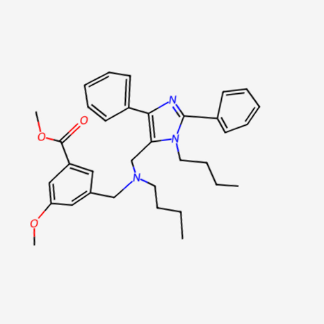 CCCCN(Cc1cc(OC)cc(C(=O)OC)c1)Cc1c(-c2ccccc2)nc(-c2ccccc2)n1CCCC